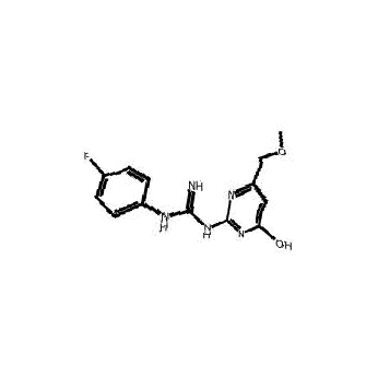 COCc1cc(O)nc(NC(=N)Nc2ccc(F)cc2)n1